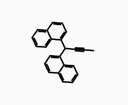 [CH2]C#CC(c1cccc2ccccc12)c1cccc2ccccc12